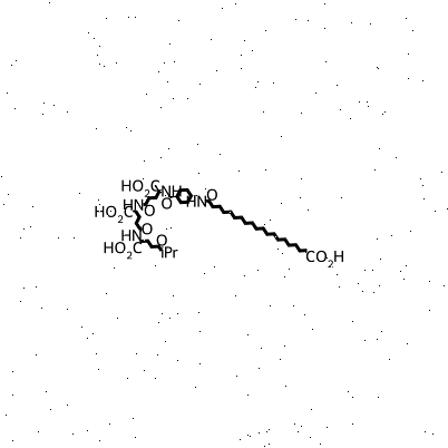 CC(C)C(=O)CC[C@H](NC(=O)CC[C@H](NC(=O)CC[C@H](NC(=O)[C@H]1CC[C@H](CNC(=O)CCCCCCCCCCCCCCCCCCC(=O)O)CC1)C(=O)O)C(=O)O)C(=O)O